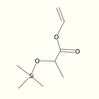 C=COC(=O)C(C)O[Si](C)(C)C